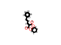 O=C1OC2(CCCCC2)OC(=O)C1=CC=Cc1ccccc1